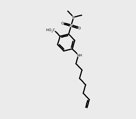 C=CCCCCCNc1ccc(C(=O)O)c(S(=O)(=O)N(C)C)c1